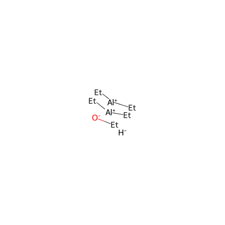 CC[O-].C[CH2][Al+][CH2]C.C[CH2][Al+][CH2]C.[H-]